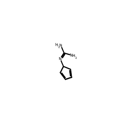 NC(N)=NC1C=CC=C1